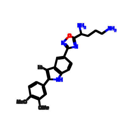 CCc1c(-c2ccc(OC)c(OC)c2)[nH]c2ccc(-c3noc(C(N)CCCN)n3)cc12